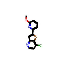 COc1cccc(-c2cc3nccc(Cl)c3s2)n1